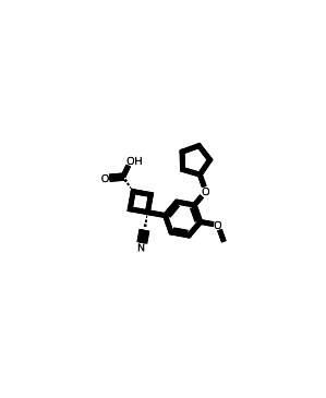 COc1ccc([C@]2(C#N)C[C@@H](C(=O)O)C2)cc1OC1CCCC1